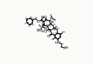 Cc1c(NCCC(C)C)cc(F)c2c1C(=O)C1=C(O)[C@]3(O[Si](C)(C)C(C)(C)C)C(=O)c4c(OCc5ccccc5)noc4[C@@H](N(C)C)[C@@H]3C[C@@H]1C2